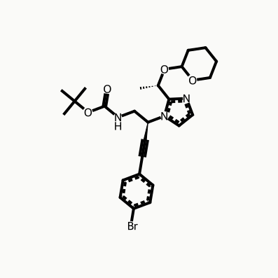 C[C@H](OC1CCCCO1)c1nccn1[C@@H](C#Cc1ccc(Br)cc1)CNC(=O)OC(C)(C)C